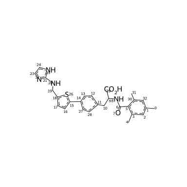 Cc1cc(C)c(C(=O)NC(Cc2ccc(-c3ccc(CNc4ncc[nH]4)s3)cc2)C(=O)O)c(C)c1